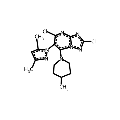 Cc1cc(C)n(-c2c(Cl)nc3nc(Cl)nn3c2N2CCC(C)CC2)n1